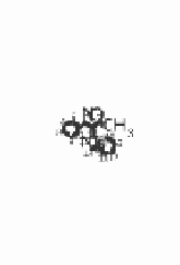 Cc1onc(-c2ccccc2)c1-c1ncc2ccccn12